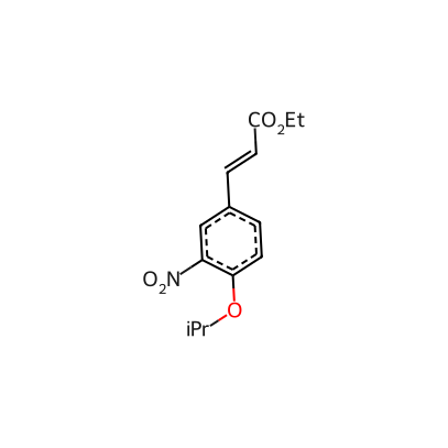 CCOC(=O)C=Cc1ccc(OC(C)C)c([N+](=O)[O-])c1